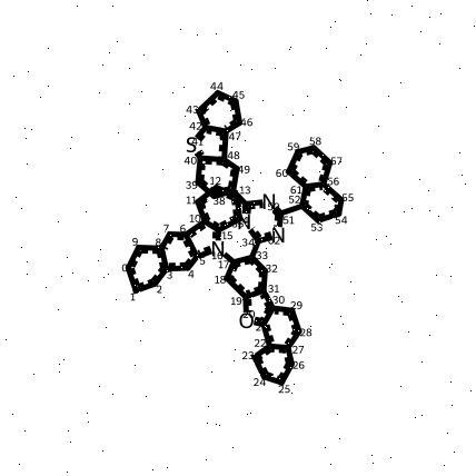 c1ccc2cc3c(cc2c1)c1ccccc1n3-c1cc2oc3c4ccccc4ccc3c2cc1-c1nc(-c2ccc3sc4ccccc4c3c2)nc(-c2cccc3ccccc23)n1